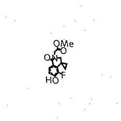 COC(=O)CN1CC2(CC2)c2c(ccc(O)c2F)C1=O